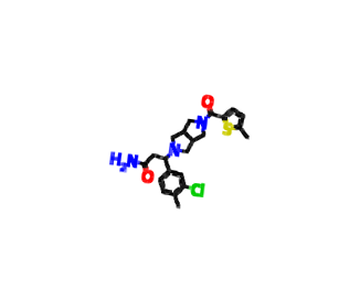 Cc1ccc(C(=O)N2CC3CN(C(CC(N)=O)c4ccc(C)c(Cl)c4)CC3C2)s1